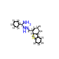 CC1C=C(/C=N/NC(N)c2ccccc2)c2sc3ccccc3c2C1